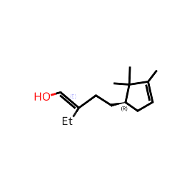 CC/C(=C\O)CC[C@@H]1CC=C(C)C1(C)C